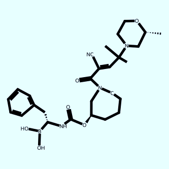 C[C@@H]1CN(C(C)(C)C=C(C#N)C(=O)N2CCCC[C@@H](OC(=O)N[C@@H](Cc3ccccc3)B(O)O)C2)CCO1